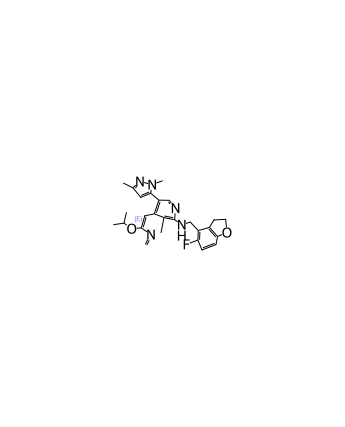 C=N/C(=C\c1c(-c2cc(C)nn2C)cnc(NCc2c(F)ccc3c2CCO3)c1C)OC(C)C